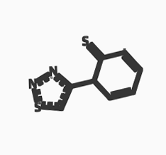 S=C1[C]=CC=CC1c1csnn1